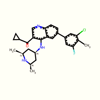 Cc1c(F)cc(-c2ccc3ncc(C(=O)C4CC4)c(N[C@H]4C[C@@H](C)N[C@@H](C)C4)c3c2)cc1Cl